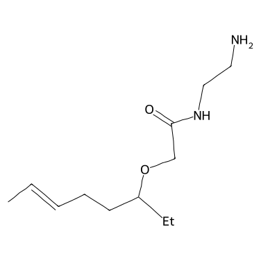 C/C=C/CCC(CC)OCC(=O)NCCN